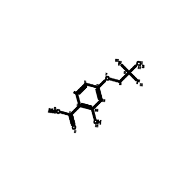 COC(=O)c1ccc(OCC(F)(F)C(F)(F)F)cc1O